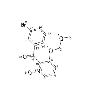 COCOc1ccc[n+]([O-])c1C(=O)c1cccc(Br)c1